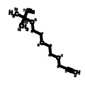 C#CCOCCOCCO[Si](C)(C)C(C)(C)C